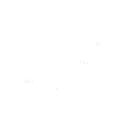 Oc1ccc(CC(O)CBr)cc1F